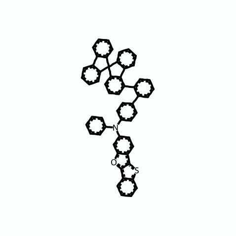 c1ccc(N(c2ccc(-c3ccccc3-c3cccc4c3-c3ccccc3C43c4ccccc4-c4ccccc43)cc2)c2ccc3c(c2)oc2c4ccccc4sc32)cc1